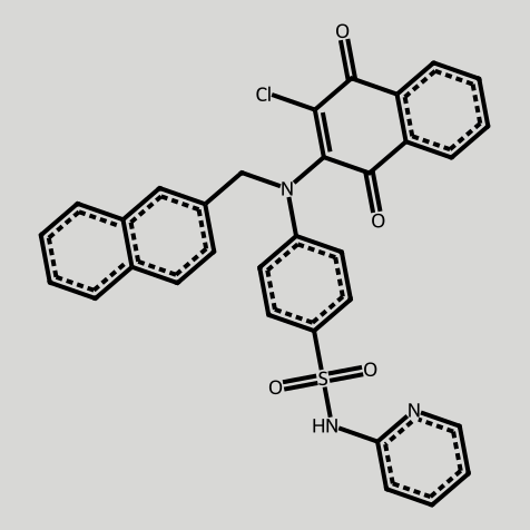 O=C1C(Cl)=C(N(Cc2ccc3ccccc3c2)c2ccc(S(=O)(=O)Nc3ccccn3)cc2)C(=O)c2ccccc21